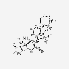 CN1CCCC[C@](CCC(F)(F)F)(c2cccc(Oc3cc([C@](C)(N)c4cncn4C)ccc3C#N)c2)C1=O